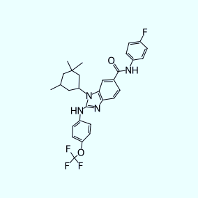 CC1CC(n2c(Nc3ccc(OC(F)(F)F)cc3)nc3ccc(C(=O)Nc4ccc(F)cc4)cc32)CC(C)(C)C1